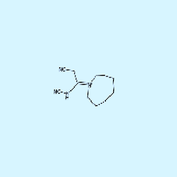 N#CCC(NC#N)=[N+]1CCCCCCC1